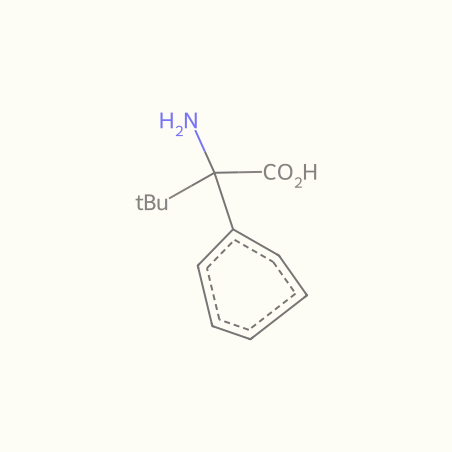 CC(C)(C)C(N)(C(=O)O)c1ccccc1